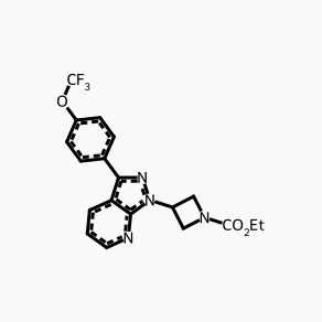 CCOC(=O)N1CC(n2nc(-c3ccc(OC(F)(F)F)cc3)c3cccnc32)C1